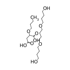 CCCCOC(CC(=O)O)C(=O)O.OCCCCOCCCCOCCCCO